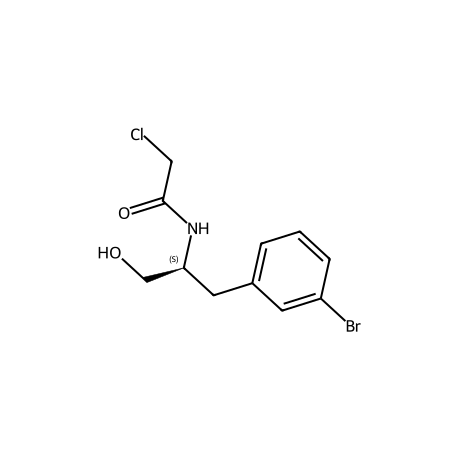 O=C(CCl)N[C@H](CO)Cc1cccc(Br)c1